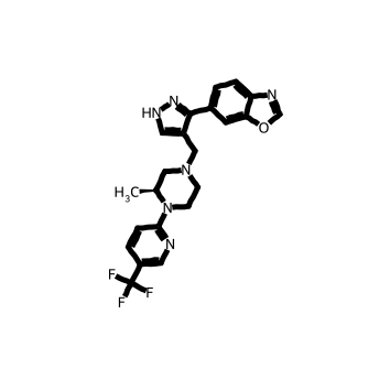 C[C@H]1CN(Cc2c[nH]nc2-c2ccc3ncoc3c2)CCN1c1ccc(C(F)(F)F)cn1